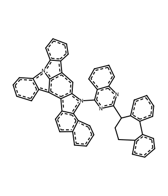 c1ccc2c(c1)CCC(c1nc(-n3c4cc5c6ccccc6n6c7ccccc7c(c4c4ccc7ccccc7c43)c56)c3ccccc3n1)c1ccccc1-2